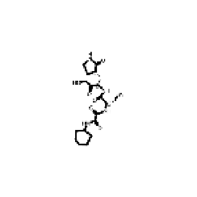 CC(C)C[C@H](NC(=O)C(=O)NC1CCCCC1)C(=O)N[C@@H](C[C@@H]1CCNC1=O)C(=O)CO